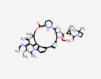 C=C/C(=C(\N=C/C)[C@H](C)OC)c1c2c3cc(ccc3n1CC)-c1csc(n1)[C@@H](OCC)[C@H](NC(=O)[C@@H]1[C@@H](C)[C@H]1C(=O)N1CCC1(C)C)C(=O)N1CCC[C@H](N1)C(=O)OCC(C)(C)C2